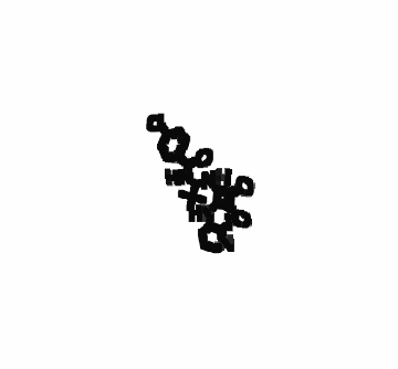 CC(C)(C)C(NC(=O)c1ccc(Cl)cc1)Nc1c(Nc2cccnc2F)c(=O)c1=O